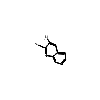 CC(C)c1nc2ccccc2cc1N